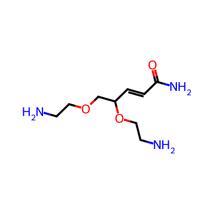 NCCOCC(C=CC(N)=O)OCCN